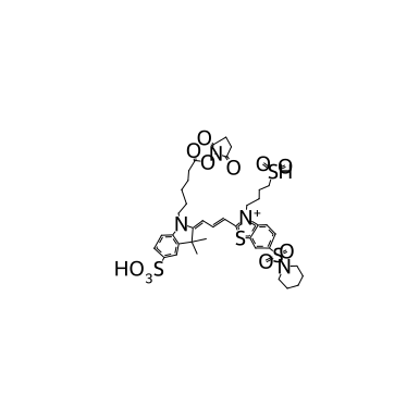 CC1(C)/C(=C\C=C\c2sc3cc(S(=O)(=O)N4CCCCC4)ccc3[n+]2CCCC[SH](=O)=O)N(CCCCCC(=O)ON2C(=O)CCC2=O)c2ccc(S(=O)(=O)O)cc21